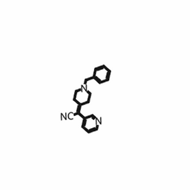 N#CC(=C1CCN(Cc2ccccc2)CC1)c1cccnc1